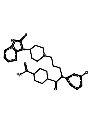 CC(=O)N1CCC(C(=O)N(CCCN2CCC(n3c(=O)[nH]c4ccccc43)CC2)c2cccc(Cl)c2)CC1